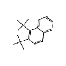 CC(C)(C)c1ccc2ccccc2c1C(C)(C)C